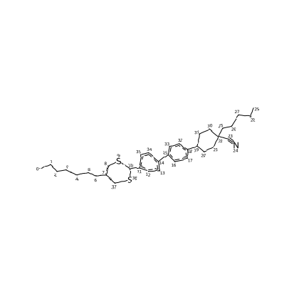 CCCCCCCC1CSC(c2ccc(-c3ccc(C4CCC(C#N)(CCCCC)CC4)cc3)cc2)SC1